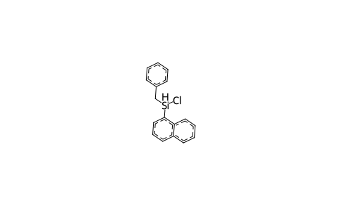 Cl[SiH](Cc1ccccc1)c1cccc2ccccc12